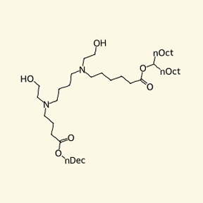 CCCCCCCCCCOC(=O)CCCN(CCO)CCCCN(CCO)CCCCCC(=O)OC(CCCCCCCC)CCCCCCCC